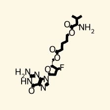 CC(C)[C@H](N)C(=O)OCCCCC(=O)OC[C@H]1O[C@@H](n2cnc3c(=O)[nH]c(N)nc32)CC1F